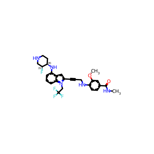 CNC(=O)c1ccc(NCC#Cc2cc3c(N[C@@H]4CCNC[C@@H]4F)cccc3n2CC(F)(F)F)c(OC)c1